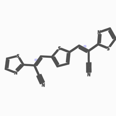 N#C/C(=C\c1ccc(/C=C(\C#N)c2nccs2)s1)c1nccs1